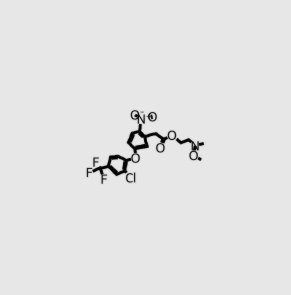 CON(C)CCOC(=O)Cc1cc(Oc2ccc(C(F)(F)F)cc2Cl)ccc1[N+](=O)[O-]